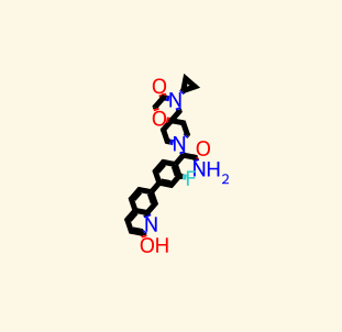 NC(=O)C(c1ccc(-c2ccc3ccc(O)nc3c2)cc1F)N1CCC2(CC1)CN(C1CC1)C(=O)CO2